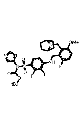 COc1ccc(F)c(CNc2ccc(S(=O)(=O)N(C(=O)OC(C)(C)C)c3cscn3)c(F)c2F)c1CN1C2CCC1CC2